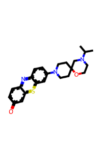 CC(C)N1CCOC2(CCN(c3ccc4nc5ccc(=O)cc-5sc4c3)CC2)C1